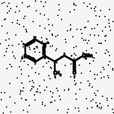 COC(=O)CC(C)c1cnccn1